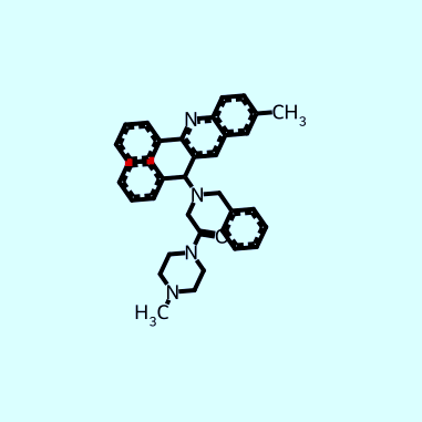 Cc1ccc2nc(-c3ccccc3)c(C(c3ccccc3)N(CC(=O)N3CCN(C)CC3)Cc3ccccc3)cc2c1